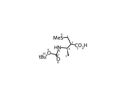 CSCC(C(=O)O)[C@@H](C)NC(=O)OC(C)(C)C